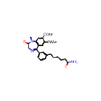 COc1cc2c(cc1OC)N(C)C(=O)CN=C2c1cccc(CCCCCC(N)=O)c1